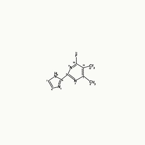 Cc1nc(-c2ncc[nH]2)nc(F)c1C(F)(F)F